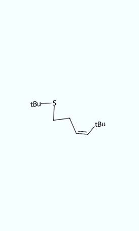 CC(C)(C)/C=C\CCSC(C)(C)C